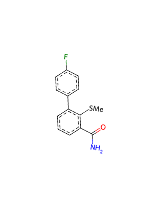 CSc1c(C(N)=O)cccc1-c1ccc(F)cc1